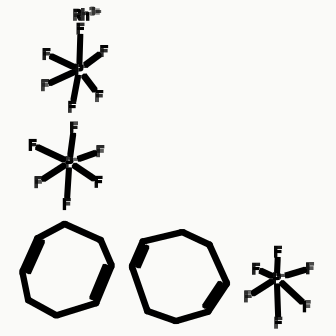 C1=CCCC=CCC1.C1=CCCC=CCC1.F[P-](F)(F)(F)(F)F.F[P-](F)(F)(F)(F)F.F[P-](F)(F)(F)(F)F.[Rh+3]